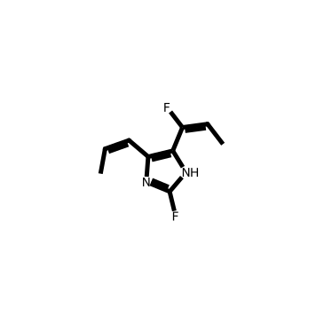 C/C=C\c1nc(F)[nH]c1/C(F)=C\C